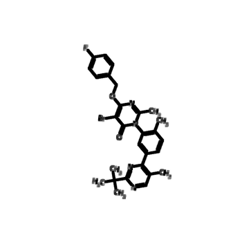 Cc1ccc(-c2nc(C(C)(C)C)ncc2C)cc1-n1c(C)nc(OCc2ccc(F)cc2)c(Br)c1=O